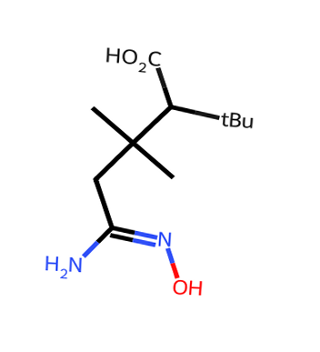 CC(C)(C)C(C(=O)O)C(C)(C)CC(N)=NO